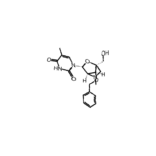 Cc1cn([C@@H]2O[C@@]3(CO)CN(C)[C@@H]2[C@@H]3OCc2ccccc2)c(=O)[nH]c1=O